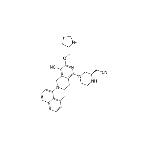 Cc1cccc2cccc(N3CCc4c(N5CCN[C@H](CC#N)C5)nc(OC[C@@H]5CCCN5C)c(C#N)c4C3)c12